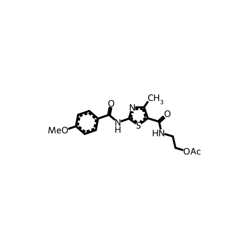 COc1ccc(C(=O)Nc2nc(C)c(C(=O)NCCOC(C)=O)s2)cc1